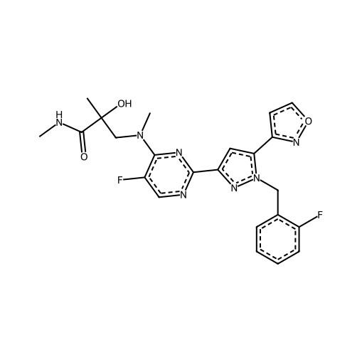 CNC(=O)C(C)(O)CN(C)c1nc(-c2cc(-c3ccon3)n(Cc3ccccc3F)n2)ncc1F